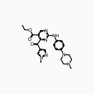 CCOC(=O)c1cnc(Nc2ccc(N3CCN(C)CC3)cc2)nc1C(=O)c1cnn(C)c1